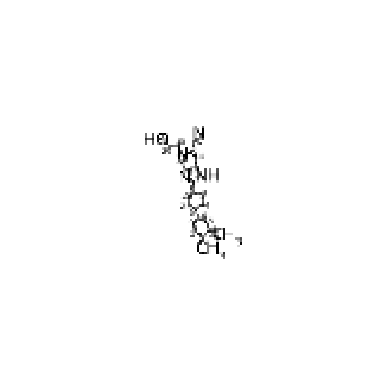 Cc1ccc(-c2ccc(-c3nc4c([nH]3)C=C(C#N)N(CCO)C4)cc2)cc1C